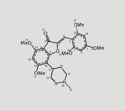 COc1cc(OC)c(/C=C2\Oc3c(c(OC)cc(OC)c3C3CCN(C)CC3)C2=O)c(OC)c1